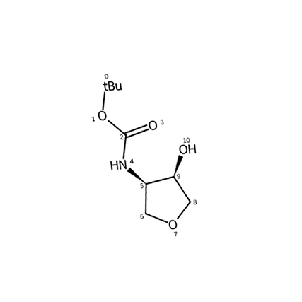 CC(C)(C)OC(=O)N[C@@H]1COC[C@@H]1O